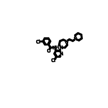 O=C(Nc1cc(Cl)cnc1N1CCCN(CCN2CCCCC2)CC1)c1cccc(Cl)c1